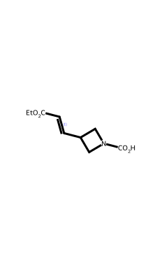 CCOC(=O)/C=C/C1CN(C(=O)O)C1